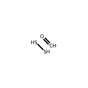 SS.[CH]=O